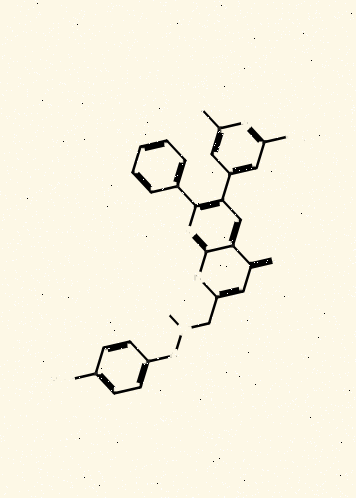 COc1ccc(N[S+]([O-])Cc2cc(=O)c3cc(-c4cc(C)nc(Cl)c4)c(-c4ccccc4)nc3[nH]2)cc1